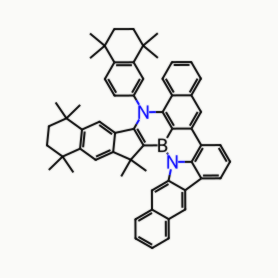 CC1(C)CCC(C)(C)c2cc(N3C4=C(B5c6c(cc7ccccc7c63)-c3cccc6c7cc8ccccc8cc7n5c36)C(C)(C)c3cc5c(cc34)C(C)(C)CCC5(C)C)ccc21